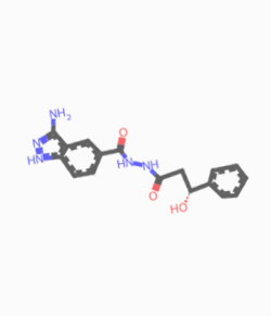 Nc1n[nH]c2ccc(C(=O)NNC(=O)C[C@@H](O)c3ccccc3)cc12